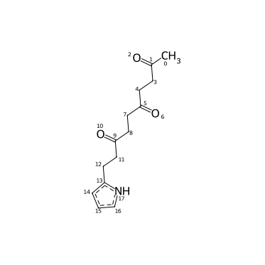 CC(=O)CCC(=O)CCC(=O)CCc1ccc[nH]1